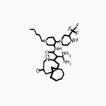 CCCCCN1CCC(N2CCNC(C(F)(F)F)C2)C(NC(=O)C(C(N)N)C2CC34CCCCCC3(CC(Cl)CN2)C4)C1